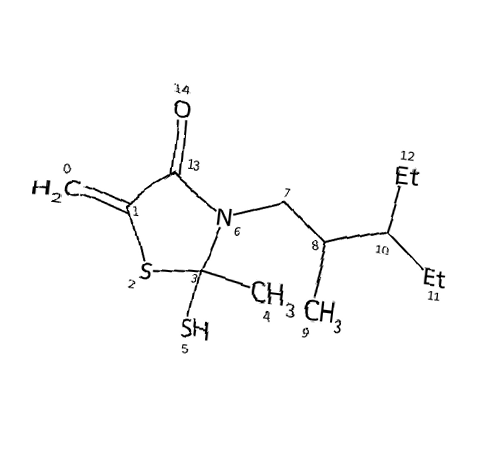 C=C1SC(C)(S)N(CC(C)C(CC)CC)C1=O